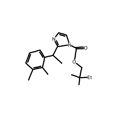 CCC(C)(C)COC(=O)n1ccnc1C(C)c1cccc(C)c1C